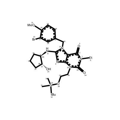 CCn1c(=O)c2c(nc(N[C@@H]3CCC[C@H]3O)n2Cc2ccc(OC)c(Br)c2)n(CCO[Si](C)(C)C(C)(C)C)c1=O